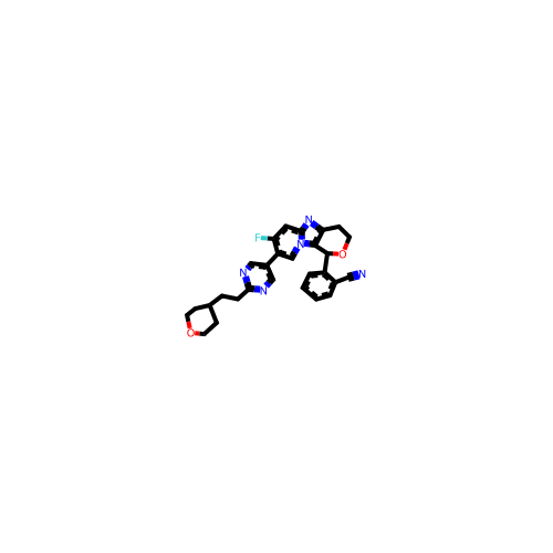 N#Cc1ccccc1C1OCCc2nc3cc(F)c(-c4cnc(CCC5CCOCC5)nc4)cn3c21